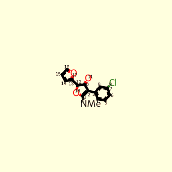 CNC1=C(c2cccc(Cl)c2)C(=O)C(c2ccco2)O1